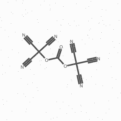 N#CC(C#N)(C#N)OC(=O)OC(C#N)(C#N)C#N